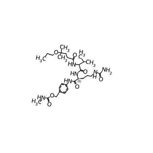 CCCOC(C)(C)CCC(=O)NC(C(=O)N[C@@H](CCCNC(N)=O)C(=O)Nc1ccc(COC(=O)NC)cc1)C(C)C